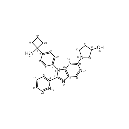 NC1(c2ccc(-n3c(-c4ccccn4)nc4cnc(N5CCC(O)C5)nc43)cc2)CCC1